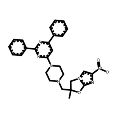 CC1(CN2CCN(c3cc(-c4ccccc4)nc(-c4ccccc4)n3)CC2)Cn2cc([N+](=O)[O-])nc2O1